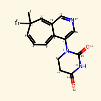 CCC1(C)C=CC=c2c(N3CCC(=O)NC3=O)cncc2=C1